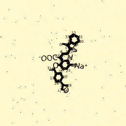 Cc1c(-c2cc(C(=O)[O-])c3c(O[C@H](C)c4ccc(C5COC5)cc4)ccc(C)c3n2)sc2ccccc12.[Na+]